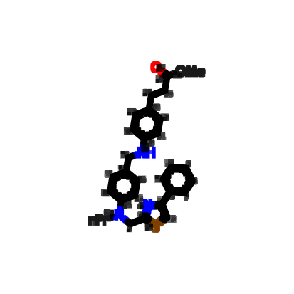 CCCN(Cc1nc(-c2ccccc2)cs1)c1ccc(CNc2ccc(CCC(=O)OC)cc2)cc1